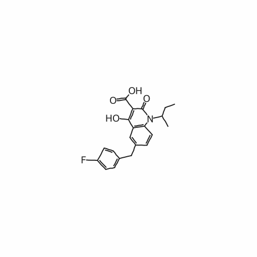 CCC(C)n1c(=O)c(C(=O)O)c(O)c2cc(Cc3ccc(F)cc3)ccc21